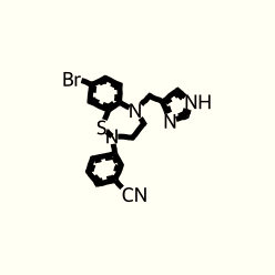 N#Cc1cccc(N2CCN(Cc3c[nH]cn3)c3ccc(Br)cc3S2)c1